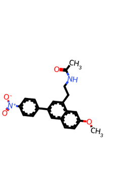 COc1ccc2cc(-c3ccc([N+](=O)[O-])cc3)cc(CCNC(C)=O)c2c1